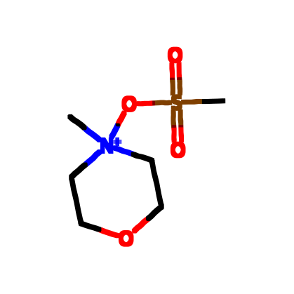 C[N+]1(OS(C)(=O)=O)CCOCC1